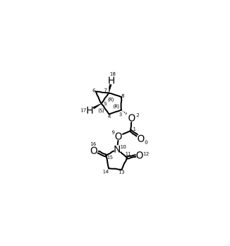 O=C(O[C@@H]1C[C@@H]2C[C@@H]2C1)ON1C(=O)CCC1=O